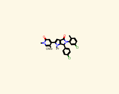 COc1cn(C)c(=O)cc1-c1cc2c(n1C(C)C)C(c1ccc(Cl)cc1)N(c1cc(Cl)ccc1C)C2=O